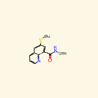 CONC(=O)c1cc(SC(C)(C)C)cc2cccnc12